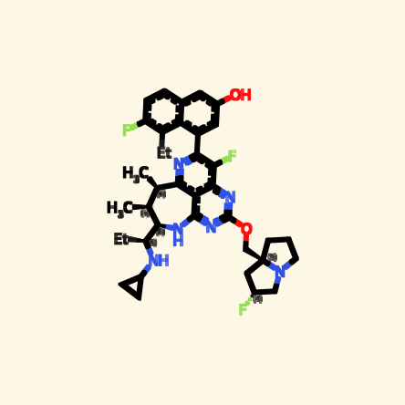 CCc1c(F)ccc2cc(O)cc(-c3nc4c5c(nc(OC[C@@]67CCCN6C[C@H](F)C7)nc5c3F)N[C@@H]([C@H](CC)NC3CC3)[C@@H](C)[C@H]4C)c12